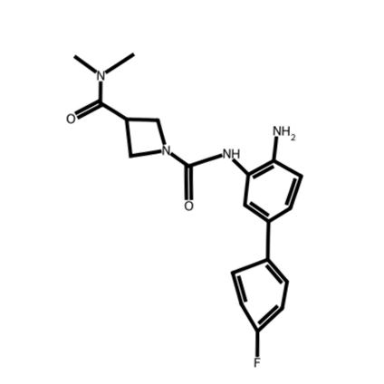 CN(C)C(=O)C1CN(C(=O)Nc2cc(-c3ccc(F)cc3)ccc2N)C1